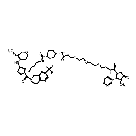 CO[C@@H]1COCC[C@@H]1N[C@@H]1CC[C@](CCCCNC(=O)[C@H]2CC[C@@H](NC(=O)CCOCCOCCOCCNC(=O)[C@H]3CC(=O)N(C)[C@@H]3c3cccnc3)CC2)(C(=O)N2CCc3ncc(C(F)(F)F)cc3C2)C1